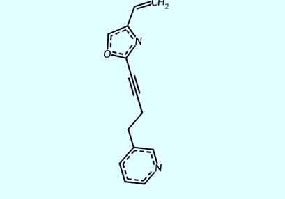 C=Cc1coc(C#CCCc2cccnc2)n1